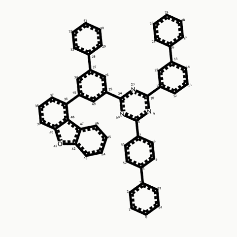 c1ccc(-c2ccc(-c3nc(-c4cccc(-c5ccccc5)c4)nc(-c4cc(-c5ccccc5)cc(-c5cccc6oc7ccccc7c56)c4)n3)cc2)cc1